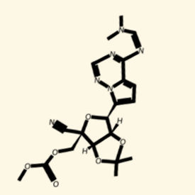 COC(=O)OC[C@@]1(C#N)O[C@@H](c2ccc3c(/N=C\N(C)C)ncnn23)[C@@H]2OC(C)(C)O[C@@H]21